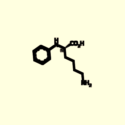 NCCCC[C@H](Nc1ccccc1)C(=O)O